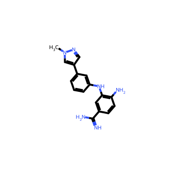 Cn1cc(-c2cccc(Nc3cc(C(=N)N)ccc3N)c2)cn1